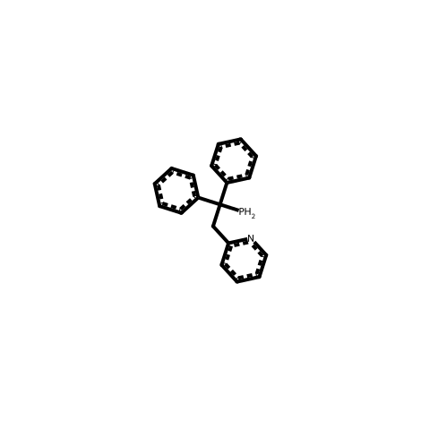 PC(Cc1ccccn1)(c1ccccc1)c1ccccc1